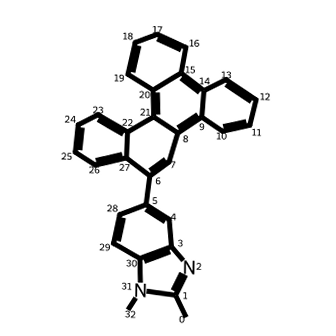 Cc1nc2cc(-c3cc4c5ccccc5c5ccccc5c4c4ccccc34)ccc2n1C